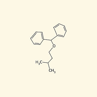 CC(C)CCOC(c1ccccc1)c1ccccc1